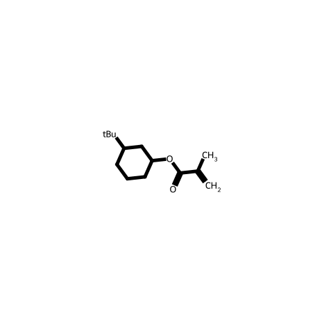 C=C(C)C(=O)OC1CCCC(C(C)(C)C)C1